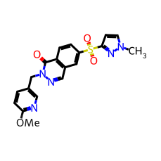 COc1ccc(Cn2ncc3cc(S(=O)(=O)c4ccn(C)n4)ccc3c2=O)cn1